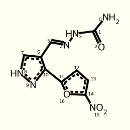 NC(=O)NN=Cc1c[nH]nc1-c1ccc([N+](=O)[O-])o1